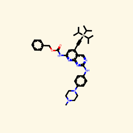 CC(C)[Si](C#Cc1cc(NC(=O)OCc2ccccc2)nc2nc(Nc3ccc(N4CCN(C)CC4)cc3)ncc12)(C(C)C)C(C)C